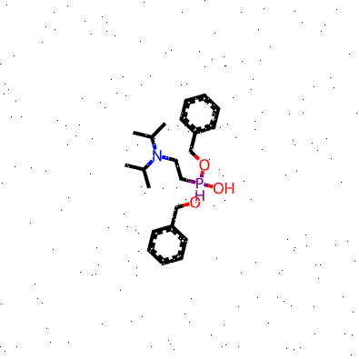 CC(C)N(CC[PH](O)(OCc1ccccc1)OCc1ccccc1)C(C)C